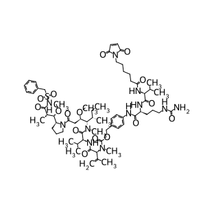 C=C(C)[C@@H](C(=O)N[C@H](C(=O)N(C)[C@@H]([C@@H](C)CC)[C@@H](CC(=O)N1CCC[C@H]1[C@H](OC)[C@@H](C)C(=O)NS(=O)(=O)Cc1ccccc1)OC)C(C)C)N(C)C(=O)OCc1ccc(NC(=O)[C@H](CCCNC(N)=O)NC(=O)[C@@H](NC(=O)CCCCCN2C(=O)C=CC2=O)C(C)C)cc1